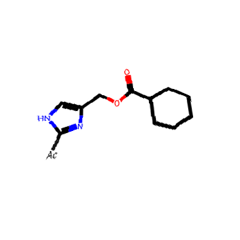 CC(=O)c1nc(COC(=O)C2CCCCC2)c[nH]1